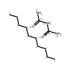 CCCCCCCCCC.NC(=O)NC(N)=O